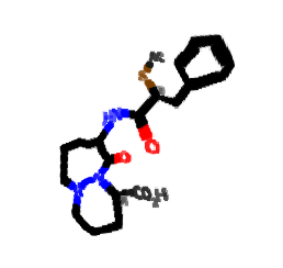 CC(=O)S[C@@H](Cc1ccccc1)C(=O)NC1CCCN2CCC[C@H](C(=O)O)N2C1=O